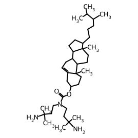 CC(C)C(C)CCCC1CCC2C3CC=C4CC(OC(=O)N(CCC(C)(C)N)CCC(C)(C)N)CCC4(C)C3CCC12C